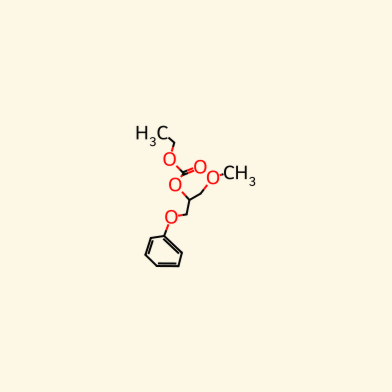 CCOC(=O)OC(COC)COc1ccccc1